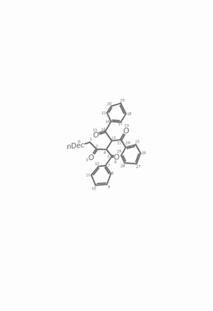 CCCCCCCCCCCC(=O)C(C(=O)c1ccccc1)C(C(=O)c1ccccc1)C(=O)c1ccccc1